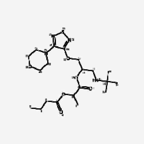 CCCC(=O)OC(C)C(=O)OC(CNC(C)(C)C)COc1nsnc1N1CCOCC1